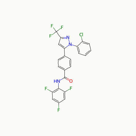 O=C(Nc1c(F)cc(F)cc1F)c1ccc(-c2cc(C(F)(F)F)nn2-c2ccccc2Cl)cc1